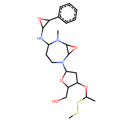 CSSC(C)OC1CC(N2CCC(NC3OC3c3ccccc3)N(C)C3OC32)OC1CO